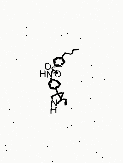 C=CC12CNCC1(c1ccc(NS(=O)(=O)c3ccc(CCCC)cc3)cc1)C2